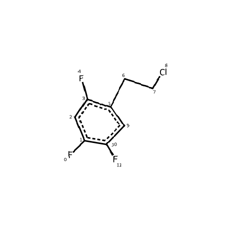 Fc1cc(F)c(CCCl)cc1F